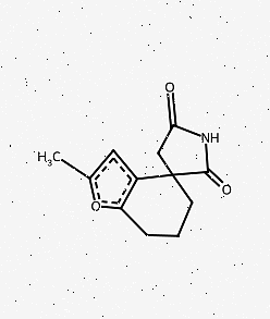 Cc1cc2c(o1)CCCC21CC(=O)NC1=O